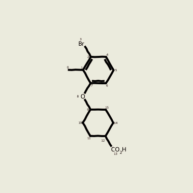 Cc1c(Br)cccc1OC1CCC(C(=O)O)CC1